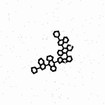 c1ccc(-c2ccc(-c3c4ccccc4c(-c4ccc5c(c4)sc4cccc(-c6c7ccccc7c(-c7ccc(-c8ccccc8)c8ccccc78)c7ccccc67)c45)c4ccccc34)c3ccccc23)cc1